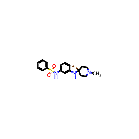 CN1CCC(Br)(Nc2cccc(NS(=O)(=O)c3ccccc3)c2)CC1